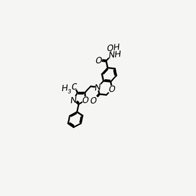 Cc1nc(-c2ccccc2)oc1CN1C(=O)COc2ccc(C(=O)NO)cc21